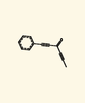 CC#CC(=O)C#Cc1ccccc1